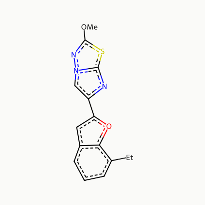 CCc1cccc2cc(-c3cn4nc(OC)sc4n3)oc12